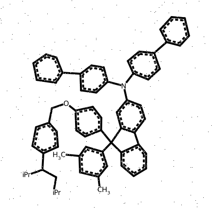 Cc1cc(C)cc(C2(c3ccc(OCc4ccc(C(CC(C)C)C(C)C)cc4)cc3)c3ccccc3-c3ccc(N(c4ccc(-c5ccccc5)cc4)c4ccc(-c5ccccc5)cc4)cc32)c1